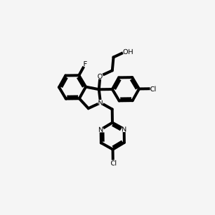 OCCOC1(c2ccc(Cl)cc2)c2c(F)cccc2CN1Cc1ncc(Cl)cn1